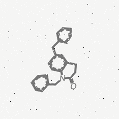 O=C1CCc2cc(Cc3ccccc3)ccc2N1Cc1ccccc1